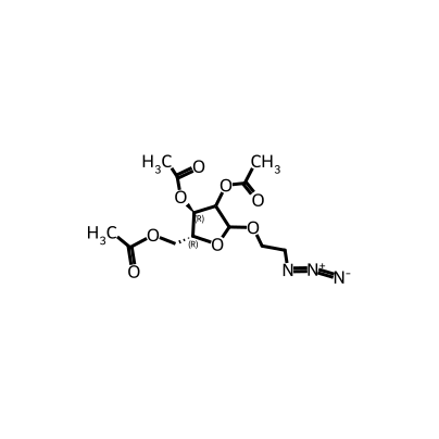 CC(=O)OC[C@H]1OC(OCCN=[N+]=[N-])C(OC(C)=O)[C@@H]1OC(C)=O